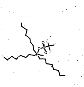 CCCCCCCCP(C)(CCCCCCCC)(CCCCCCCC)OS(=O)(=O)C(F)(F)F